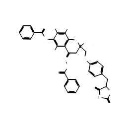 Cc1c(C)c2c(c(C)c1OC(=O)c1ccccc1)C(=NOC(=O)c1ccccc1)CC(C)(COc1ccc(CC3SC(=O)NC3=O)cc1)O2